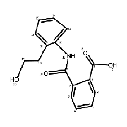 O=C(O)c1ccccc1C(=O)Nc1ccccc1CCO